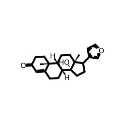 C[C@]12CCC(=O)C=C1CC[C@@H]1[C@H]2CC[C@]2(C)C(c3ccoc3)CC[C@@]12O